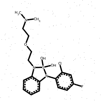 CN(C)CCOCCN1c2ccccc2N(c2ccc(F)cc2Cl)S1(O)O